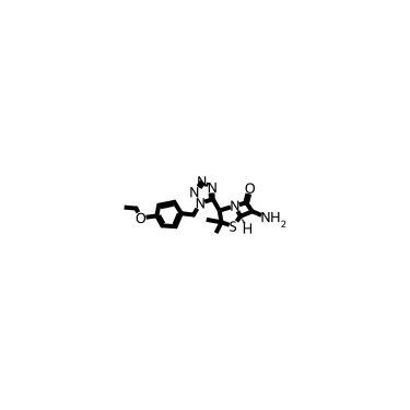 CCOc1ccc(Cn2nnnc2C2N3C(=O)C(N)[C@H]3SC2(C)C)cc1